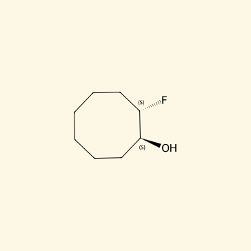 O[C@H]1CCCCCC[C@@H]1F